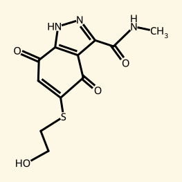 CNC(=O)c1n[nH]c2c1C(=O)C(SCCO)=CC2=O